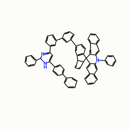 C1=CC2c3cc(-c4cccc(-c5cccc(C6=NC(c7ccccc7)NC(c7ccc(-c8ccccc8)cc7)=C6)c5)c4)ccc3C3(c4cc5ccccc5cc4N(c4ccccc4)c4cc5ccccc5cc43)C2C=C1